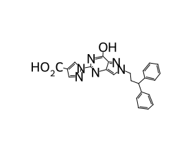 O=C(O)c1cnn(-c2nc(O)c3nn(CCC(c4ccccc4)c4ccccc4)cc3n2)c1